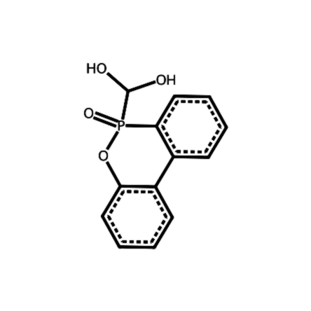 O=P1(C(O)O)Oc2ccccc2-c2ccccc21